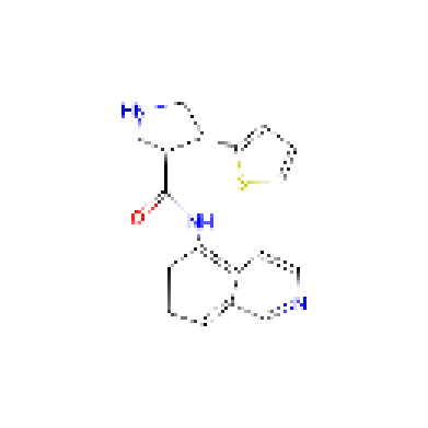 O=C(Nc1cccc2cnccc12)[C@H]1CNC[C@@H]1c1cccs1